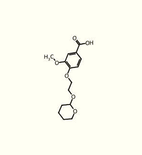 COc1cc(C(=O)O)ccc1OCCOC1CCCCO1